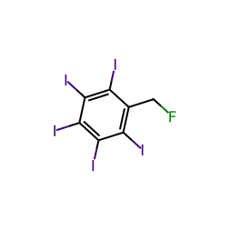 FCc1c(I)c(I)c(I)c(I)c1I